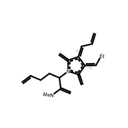 C=C/C=c1/c(=C)n(C(CCC=C)C(=C)NC)c(=C)/c1=C/CC